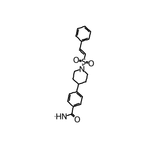 [NH]C(=O)c1ccc(C2CCN(S(=O)(=O)C=Cc3ccccc3)CC2)cc1